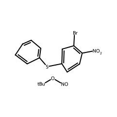 CC(C)(C)ON=O.O=[N+]([O-])c1ccc(Sc2ccccc2)cc1Br